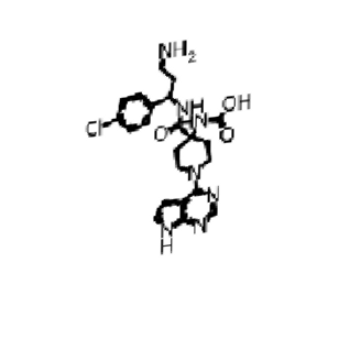 NCCC(NC(=O)C1(NC(=O)O)CCN(c2ncnc3[nH]ccc23)CC1)c1ccc(Cl)cc1